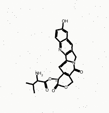 CC(C)C(N)C(=O)O[C@@H]1C(=O)OCc2c1cc1n(c2=O)Cc2cc3cc(O)ccc3nc2-1